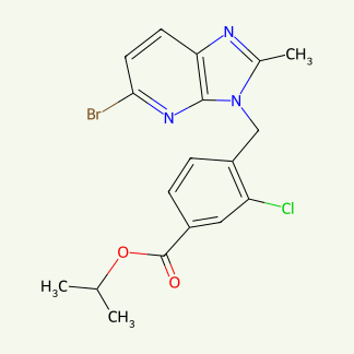 Cc1nc2ccc(Br)nc2n1Cc1ccc(C(=O)OC(C)C)cc1Cl